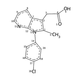 Cc1c(CC(=O)O)c2cccnc2n1-c1ccc(Cl)cc1